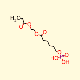 C=CC(=O)OCCOC(=O)CCCCCOP(=O)(O)O